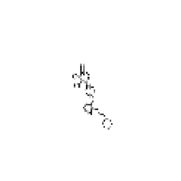 O=c1[nH]ncc(N2CCN(Cc3cccnc3CCCC3CCCCC3)CC2)c1Cl